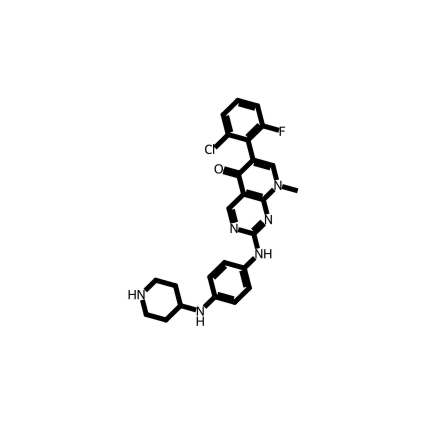 Cn1cc(-c2c(F)cccc2Cl)c(=O)c2cnc(Nc3ccc(NC4CCNCC4)cc3)nc21